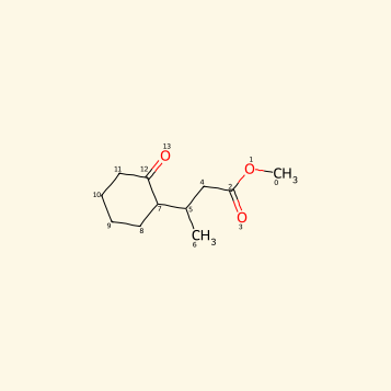 COC(=O)CC(C)C1CCCCC1=O